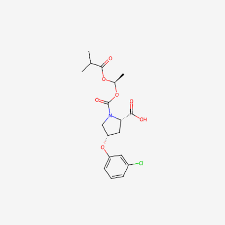 CC(C)C(=O)O[C@@H](C)OC(=O)N1C[C@@H](Oc2cccc(Cl)c2)C[C@H]1C(=O)O